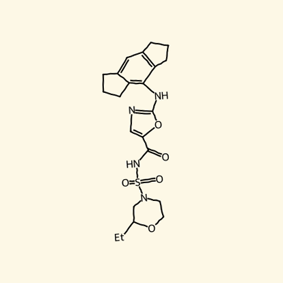 CCC1CN(S(=O)(=O)NC(=O)c2cnc(Nc3c4c(cc5c3CCC5)CCC4)o2)CCO1